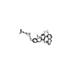 COc1ccc(-c2c(O)ccc3c2CCCC3)c(N)c1Cc1ccc(OCCNCCC(C)C)cc1